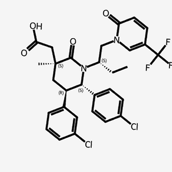 CC[C@@H](Cn1cc(C(F)(F)F)ccc1=O)N1C(=O)[C@](C)(CC(=O)O)C[C@H](c2cccc(Cl)c2)[C@H]1c1ccc(Cl)cc1